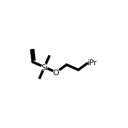 C=C[Si](C)(C)OCCC(C)C